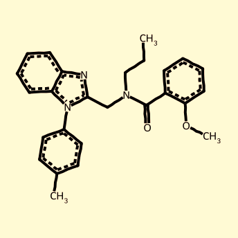 CCCN(Cc1nc2ccccc2n1-c1ccc(C)cc1)C(=O)c1ccccc1OC